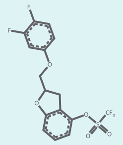 O=S(=O)(Oc1cccc2c1CC(COc1ccc(F)c(F)c1)O2)C(F)(F)F